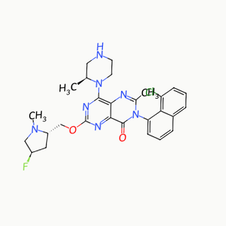 Cc1nc2c(N3CCNC[C@@H]3C)nc(OC[C@@H]3C[C@@H](F)CN3C)nc2c(=O)n1-c1cccc2cccc(Cl)c12